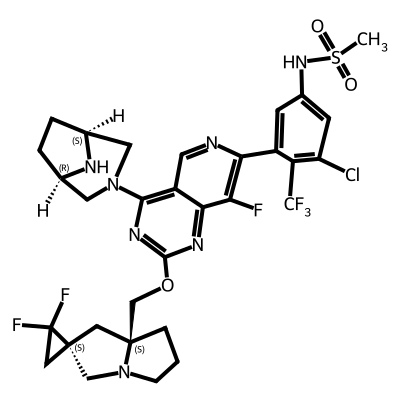 CS(=O)(=O)Nc1cc(Cl)c(C(F)(F)F)c(-c2ncc3c(N4C[C@H]5CC[C@@H](C4)N5)nc(OC[C@@]45CCCN4C[C@@]4(CC4(F)F)C5)nc3c2F)c1